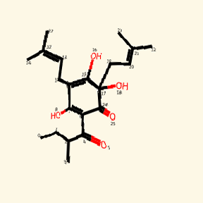 CCC(C)C(=O)C1=C(O)C(CC=C(C)C)=C(O)C(O)(CC=C(C)C)C1=O